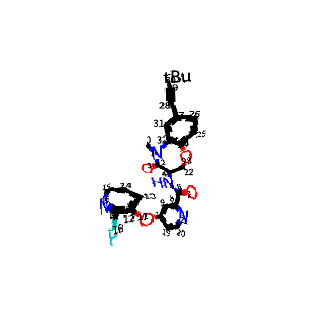 CN1C(=O)C(NC(=O)c2cc(Oc3cccnc3F)ccn2)COc2ccc(C#CC(C)(C)C)cc21